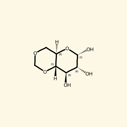 O[C@@H]1[C@@H](O)[C@@H](O)O[C@@H]2COCO[C@@H]12